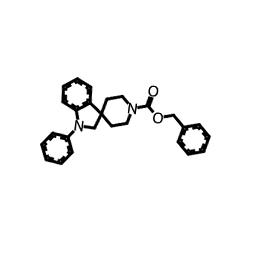 O=C(OCc1ccccc1)N1CCC2(CC1)CN(c1ccccc1)c1ccccc12